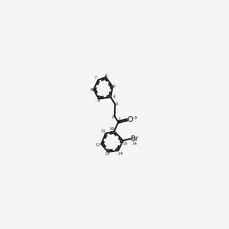 O=C(CCc1ccccc1)c1ccccc1Br